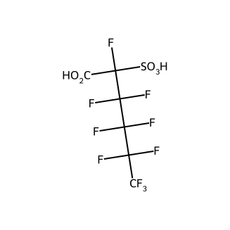 O=C(O)C(F)(C(F)(F)C(F)(F)C(F)(F)C(F)(F)F)S(=O)(=O)O